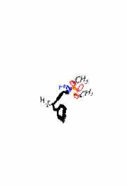 COP(=O)(NCC#CC(C)Cc1ccccc1)OC